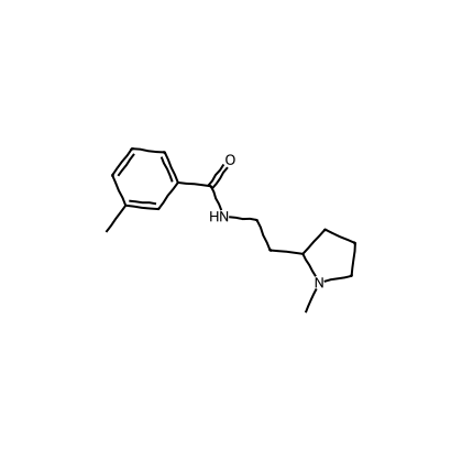 Cc1cccc(C(=O)NCCC2CCCN2C)c1